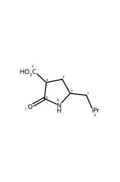 CC(C)CC1CC(C(=O)O)C(=O)N1